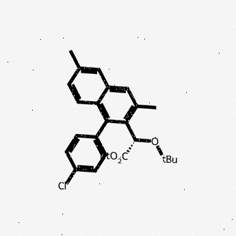 CCOC(=O)[C@@H](OC(C)(C)C)c1c(C)cc2cc(C)ccc2c1-c1ccc(Cl)cc1